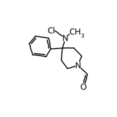 CN(Cl)C1(c2ccccc2)CCN(C=O)CC1